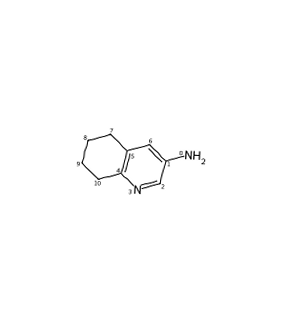 Nc1cnc2c(c1)CCCC2